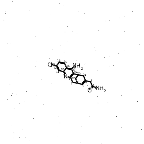 NC(=O)CC1=CC2Cc3nc4cc(Cl)ccc4c(N)c3C(C1)C2